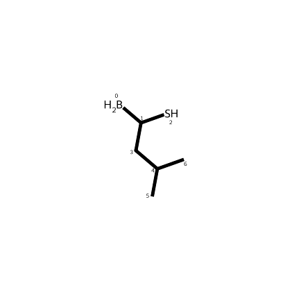 BC(S)CC(C)C